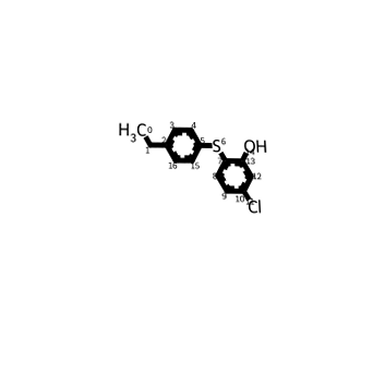 CCc1ccc(Sc2ccc(Cl)cc2O)cc1